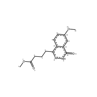 COC(=O)CCCc1n[nH]c(=O)c2cc(OC)ccc12